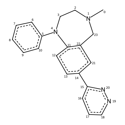 CN1CCN(c2ccccc2)c2ccc(-c3cccnn3)cc2C1